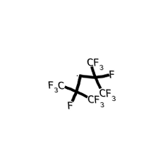 FC(F)(F)C(F)([CH]C(F)(C(F)(F)F)C(F)(F)F)C(F)(F)F